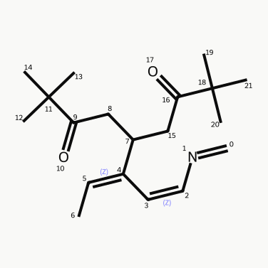 C=N/C=C\C(=C/C)C(CC(=O)C(C)(C)C)CC(=O)C(C)(C)C